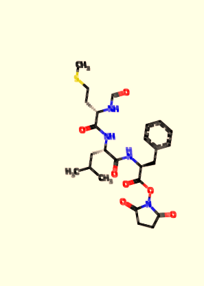 CSCC[C@H](NC=O)C(=O)N[C@@H](CC(C)C)C(=O)N[C@@H](Cc1ccccc1)C(=O)ON1C(=O)CCC1=O